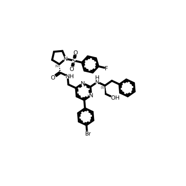 O=C(NCc1cc(-c2ccc(Br)cc2)nc(N[C@H](CO)Cc2ccccc2)n1)[C@@H]1CCCN1S(=O)(=O)c1ccc(F)cc1